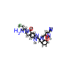 COc1cccc2cc(-c3nc4cc5c(cc4n3C)CCN(C[C@H](N)CF)C5=O)n(Cc3cc(C#N)no3)c12